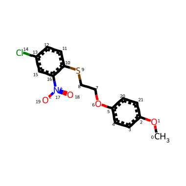 COc1ccc(OCCSc2ccc(Cl)cc2[N+](=O)[O-])cc1